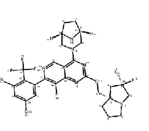 [2H][C@]1(F)CN2CCC[C@@]2(COc2nc(N3C[C@H]4CC[C@@H](C3)N4)c3cnc(-c4cc(O)cc(Cl)c4C(F)(F)F)c(F)c3n2)C1